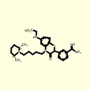 C[C@@H]1CCC[C@H](C)N1CCCCCN1C(=O)C(c2cccc(C(=N)N)c2)Sc2ccc(NCC(=O)O)cc21